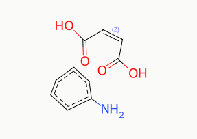 Nc1ccccc1.O=C(O)/C=C\C(=O)O